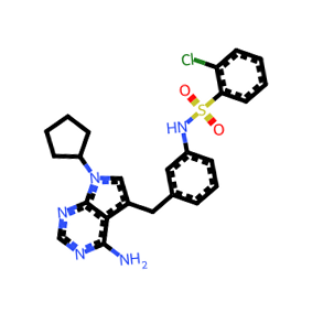 Nc1ncnc2c1c(Cc1cccc(NS(=O)(=O)c3ccccc3Cl)c1)cn2C1CCCC1